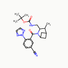 CC1C2CC(C2)N(C(=O)c2cc(C#N)ccc2-n2nccn2)C1CNC(=O)OC(C)(C)C